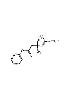 CCOC(=O)/C(C)=C/C(C)(C)CC(=O)Oc1ccccc1